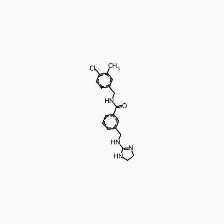 Cc1cc(CNC(=O)c2cccc(CNC3=NCCN3)c2)ccc1Cl